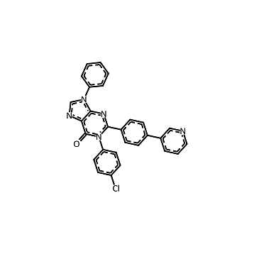 O=c1c2ncn(-c3ccccc3)c2nc(-c2ccc(-c3cccnc3)cc2)n1-c1ccc(Cl)cc1